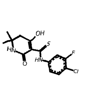 CC1(C)CC(O)=C(C(=S)Nc2ccc(Cl)c(F)c2)C(=O)N1